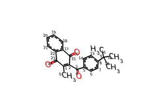 CC1=C(C(=O)c2ccc(C(C)(C)C)cc2)C(=O)c2ccccc2C1=O